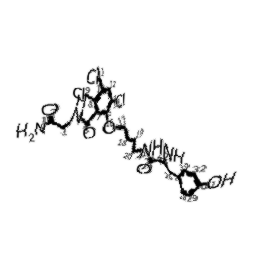 NC(=O)CNC(=O)c1c(Cl)c(Cl)cc(Cl)c1OCCCCNC(=O)[C@@H](N)Cc1ccc(O)cc1